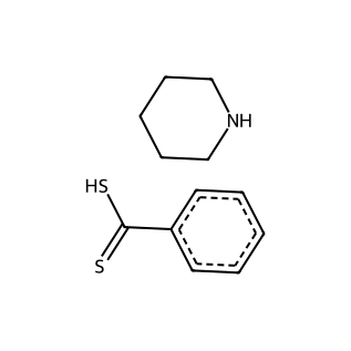 C1CCNCC1.S=C(S)c1ccccc1